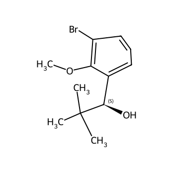 COc1c(Br)cccc1[C@@H](O)C(C)(C)C